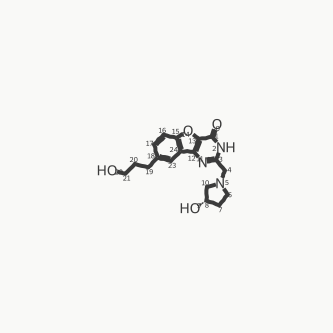 O=c1[nH]c(CN2CC[C@H](O)C2)nc2c1oc1ccc(CCCO)cc12